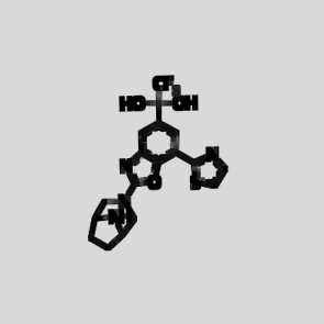 OC(O)(c1cc(-c2nccs2)c2oc(N3CC4CCC(C3)N4)nc2c1)C(F)(F)F